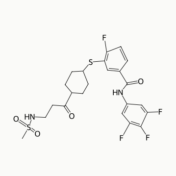 CS(=O)(=O)NCCC(=O)C1CCC(Sc2cc(C(=O)Nc3cc(F)c(F)c(F)c3)ccc2F)CC1